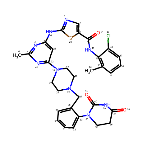 Cc1nc(Nc2ncc(C(=O)Nc3c(C)cccc3Cl)s2)cc(N2CCN(Cc3ccccc3N3CCC(=O)NC3=O)CC2)n1